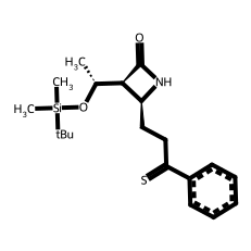 C[C@@H](O[Si](C)(C)C(C)(C)C)[C@H]1C(=O)N[C@H]1CCC(=S)c1ccccc1